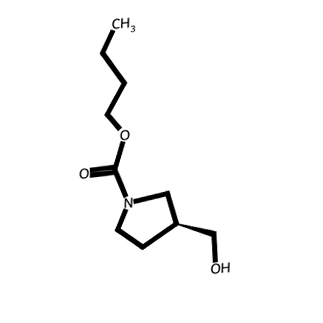 CCCCOC(=O)N1CC[C@H](CO)C1